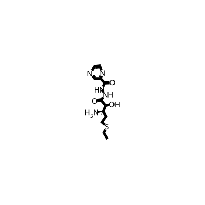 CCSCC[C@@H](N)C(O)C(=O)NNC(=O)c1cnccn1